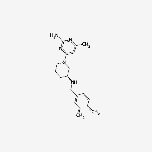 C=C/C=C\C(=C/C=C)CN[C@H]1CCCN(c2cc(C)nc(N)n2)C1